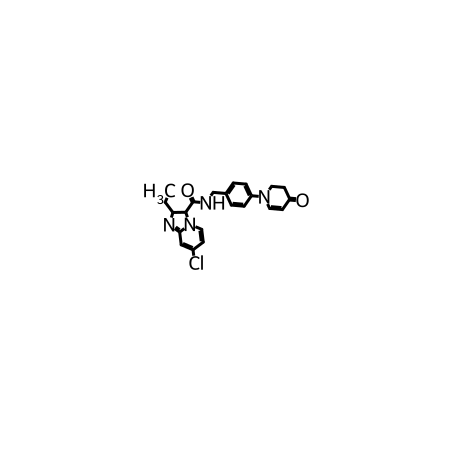 CCC1N=C2C=C(Cl)C=CN2C1C(=O)NCc1ccc(N2C=CC(=O)CC2)cc1